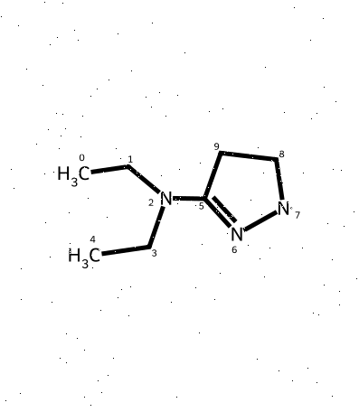 CCN(CC)C1=N[N]CC1